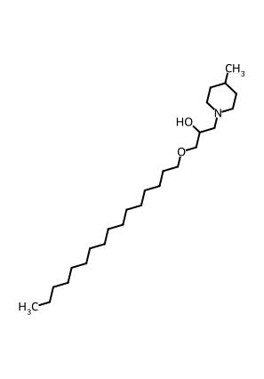 CCCCCCCCCCCCCCCCOCC(O)CN1CCC(C)CC1